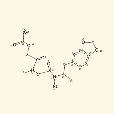 CCN(C(=O)CN(C)C(=O)COC(=O)C(C)(C)C)C(C)Cc1ccc2c(c1)OCO2